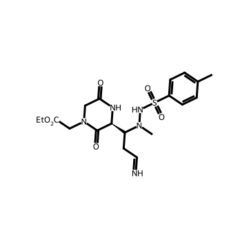 CCOC(=O)CN1CC(=O)N[C@@H](C(CC=N)N(C)NS(=O)(=O)c2ccc(C)cc2)C1=O